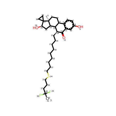 C[C@]12CCC3c4ccc(O)cc4C(=O)[C@@H](CCCCCCCCCSCCCC(F)(F)C(F)(F)F)C3C1C[C@@H](O)C21CC1